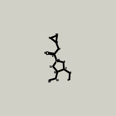 CCC1CN(C(=O)CC2CC2)CC1CC